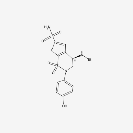 CCN[C@H]1CN(c2ccc(O)cc2)S(=O)(=O)c2sc(S(N)(=O)=O)cc21